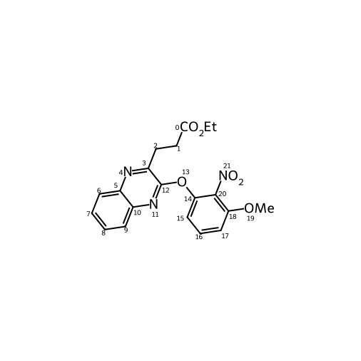 CCOC(=O)CCc1nc2ccccc2nc1Oc1cccc(OC)c1[N+](=O)[O-]